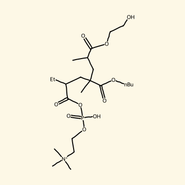 CCCCOC(=O)C(C)(CC(C)C(=O)OCCO)CC(CC)C(=O)OP(=O)(O)OCC[N+](C)(C)C